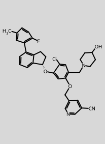 Cc1ccc(F)c(-c2cccc3c2CC[C@@H]3Oc2cc(OCc3cncc(C#N)c3)c(CN3CCC(O)CC3)cc2Cl)c1